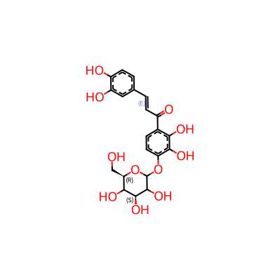 O=C(/C=C/c1ccc(O)c(O)c1)c1ccc(OC2O[C@H](CO)C(O)[C@H](O)C2O)c(O)c1O